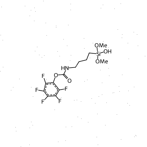 CO[Si](O)(CCCCNC(=O)Oc1c(F)c(F)c(F)c(F)c1F)OC